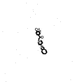 Cc1ccc(C(=O)C[n+]2ccc(N3CC4=C(C=CCC=C4)C3)cc2)cc1